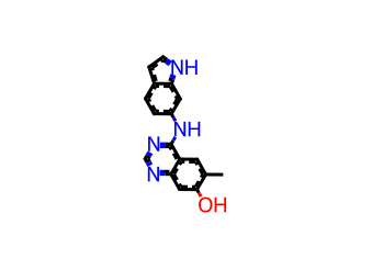 Cc1cc2c(Nc3ccc4cc[nH]c4c3)ncnc2cc1O